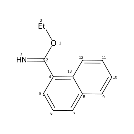 CCOC(=N)c1[c]ccc2ccccc12